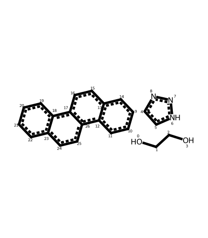 OCCO.c1c[nH]nn1.c1ccc2c(c1)ccc1c3ccccc3ccc21